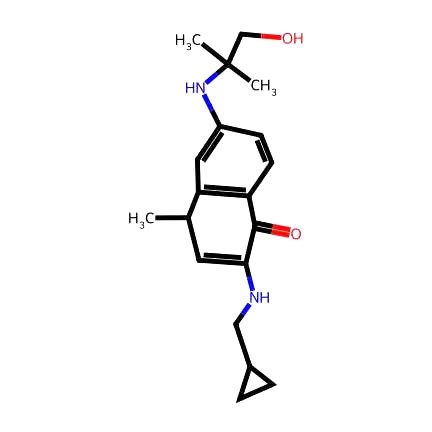 CC1C=C(NCC2CC2)C(=O)c2ccc(NC(C)(C)CO)cc21